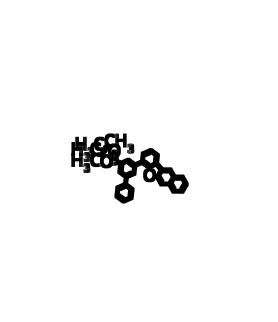 CC1(C)OB(c2cc(-c3ccccc3)cc(-c3cccc4c3oc3cc5ccccc5cc34)c2)OC1(C)C